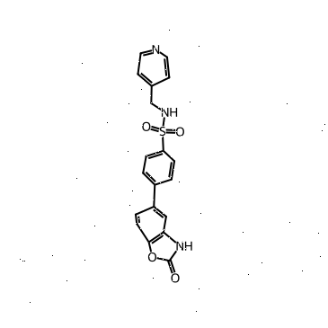 O=c1[nH]c2cc(-c3ccc(S(=O)(=O)NCc4ccncc4)cc3)ccc2o1